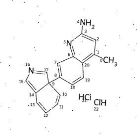 Cc1cc(N)nc2cc(C34C=CC=CC3=CN=C4)ccc12.Cl.Cl